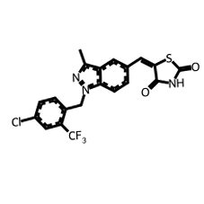 Cc1nn(Cc2ccc(Cl)cc2C(F)(F)F)c2ccc(C=C3SC(=O)NC3=O)cc12